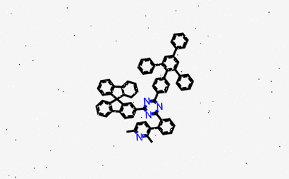 Cc1ccc(-c2ccccc2-c2nc(-c3ccc(-c4c(-c5ccccc5)cc(-c5ccccc5)cc4-c4ccccc4)cc3)nc(-c3ccc4c(c3)C3(c5ccccc5C5=CC=CCC53)c3ccccc3-4)n2)c(C)n1